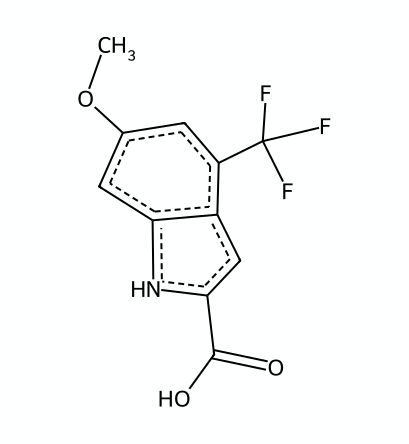 COc1cc(C(F)(F)F)c2cc(C(=O)O)[nH]c2c1